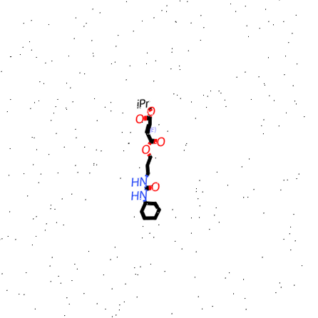 CC(C)OC(=O)/C=C/C(=O)OCCCNC(=O)NC1CCCCC1